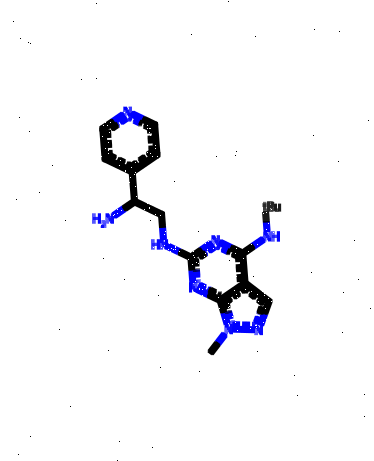 Cn1ncc2c(NC(C)(C)C)nc(NCC(N)c3ccncc3)nc21